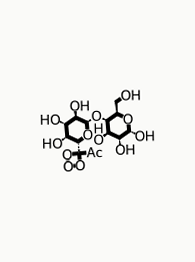 CC(=O)C1([C@H]2O[C@@H](O[C@H]3[C@H](O)[C@@H](O)[C@@H](O)O[C@@H]3CO)[C@H](O)[C@@H](O)[C@H]2O)OOO1